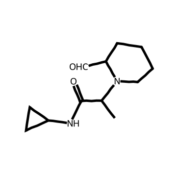 CC(C(=O)NC1CC1)N1CCCCC1C=O